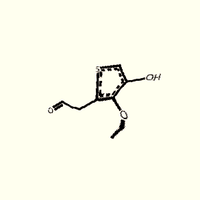 COc1c(O)csc1CC=O